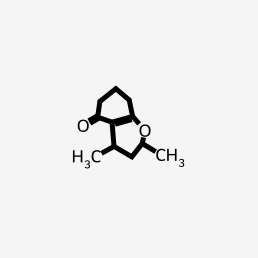 CC1CC(C)C2=C(CCCC2=O)O1